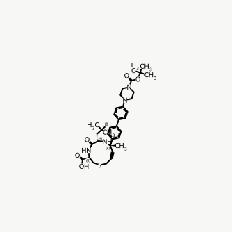 CC(C)(F)C[C@@H]1N[C@](C)(c2ccc(-c3ccc(N4CCN(C(=O)OC(C)(C)C)CC4)cc3)cc2)C#CCSC[C@@H](C(=O)O)NC1=O